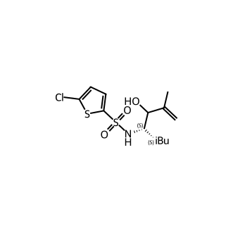 C=C(C)C(O)[C@@H](NS(=O)(=O)c1ccc(Cl)s1)[C@@H](C)CC